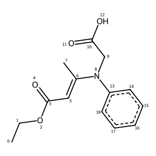 CCOC(=O)C=C(C)N(CC(=O)O)c1ccccc1